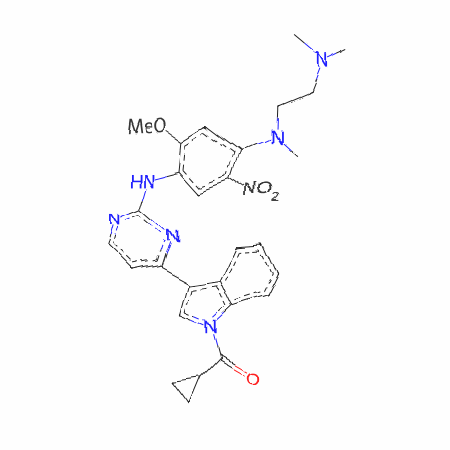 COc1cc(N(C)CCN(C)C)c([N+](=O)[O-])cc1Nc1nccc(-c2cn(C(=O)C3CC3)c3ccccc23)n1